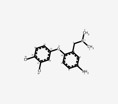 CN(C)Cc1cc(N)ccc1Oc1ccc(Cl)c(Cl)c1